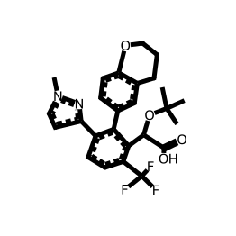 Cn1ccc(-c2ccc(C(F)(F)F)c(C(OC(C)(C)C)C(=O)O)c2-c2ccc3c(c2)CCCO3)n1